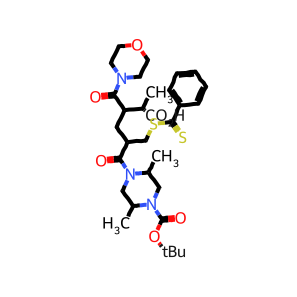 CC(C(=O)O)C(CC(CSC(=S)c1ccccc1)C(=O)N1CC(C)N(C(=O)OC(C)(C)C)CC1C)C(=O)N1CCOCC1